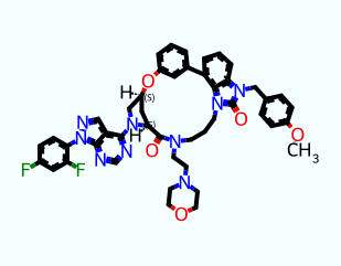 COc1ccc(Cn2c(=O)n3c4c(cccc42)-c2cccc(c2)O[C@H]2C[C@@H](C(=O)N(CCN4CCOCC4)CCC3)N(c3ncnc4c3cnn4-c3ccc(F)cc3F)C2)cc1